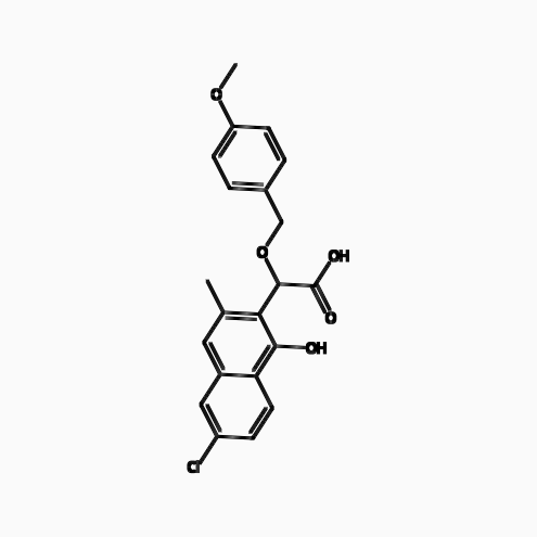 COc1ccc(COC(C(=O)O)c2c(C)cc3cc(Cl)ccc3c2O)cc1